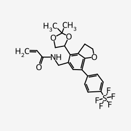 C=CC(=O)NCc1cc(-c2ccc(S(F)(F)(F)(F)F)cc2)c2c(c1C1COC(C)(C)O1)CCO2